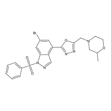 CC1CN(Cc2nnc(-c3cc(Br)cc4c3cnn4S(=O)(=O)c3ccccc3)o2)CCO1